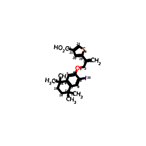 C=C(COc1cc2c(cc1I)C(C)(C)CCC2(C)C)c1cc(C(=O)O)cs1